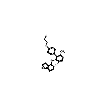 Cc1ncc(C#N)c(Nc2cccc3[nH]ccc23)c1-c1ccc(OCCCl)cc1